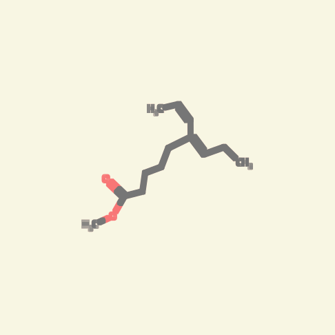 C/C=C\C(=C/CC)CCCCC(=O)OC